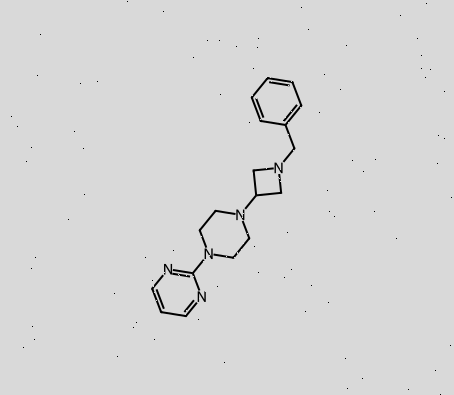 c1ccc(CN2CC(N3CCN(c4ncccn4)CC3)C2)cc1